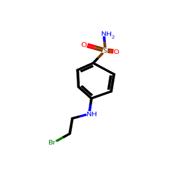 NS(=O)(=O)c1ccc(NCCBr)cc1